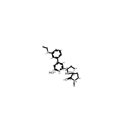 CCOc1cccc(-c2ccnc([C@H]3CC[C@@]4(CCN(C)C4=O)N3)c2)c1.Cl